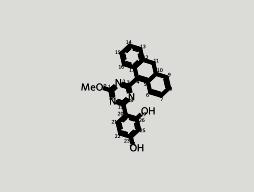 COc1nc(C2=C3C=CC=CC3Cc3ccccc32)nc(-c2ccc(O)cc2O)n1